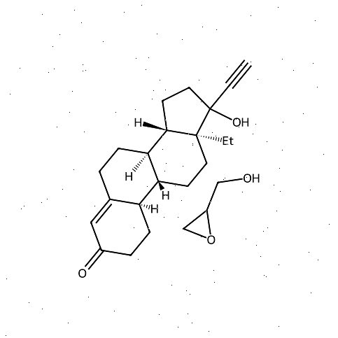 C#CC1(O)CC[C@H]2[C@@H]3CCC4=CC(=O)CC[C@@H]4[C@H]3CC[C@@]21CC.OCC1CO1